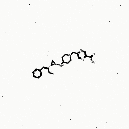 CC/C(=C\c1ccccc1)[C@@H]1C[C@H]1NC1CCN(Cc2cnc(C(=O)O)cn2)CC1